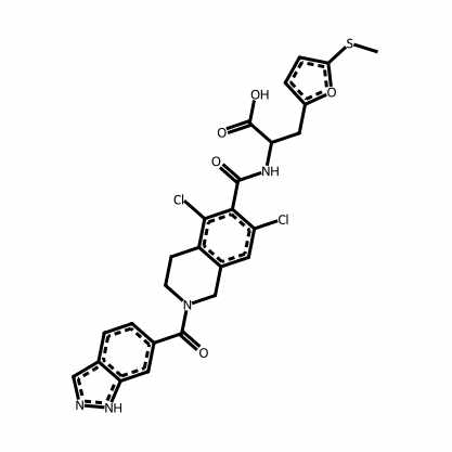 CSc1ccc(CC(NC(=O)c2c(Cl)cc3c(c2Cl)CCN(C(=O)c2ccc4cn[nH]c4c2)C3)C(=O)O)o1